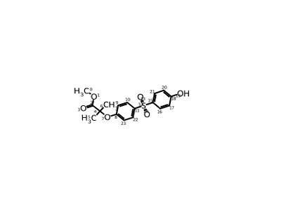 COC(=O)C(C)(C)Oc1ccc(S(=O)(=O)c2ccc(O)cc2)cc1